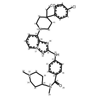 CCOC(=O)CC1(c2ccc(Cl)cc2)CCN(c2cccn3nc(Nc4ccc(C(=O)N(C)C5CCN(C)CC5)cc4)nc23)CC1